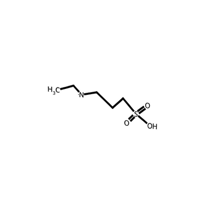 CC[N]CCCS(=O)(=O)O